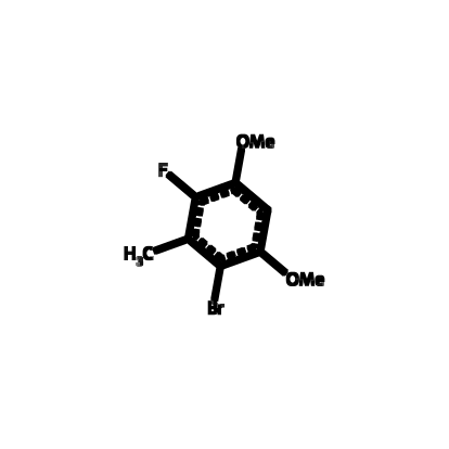 COc1cc(OC)c(Br)c(C)c1F